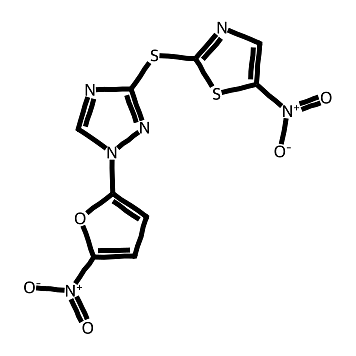 O=[N+]([O-])c1ccc(-n2cnc(Sc3ncc([N+](=O)[O-])s3)n2)o1